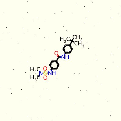 CN(C)S(=O)(=O)Nc1ccc(C(=O)Nc2ccc(C(C)(C)C)cc2)cc1